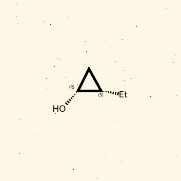 CC[C@H]1C[C@H]1O